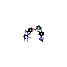 Cc1nc(-c2cccc(CN3CCCC[C@@H]3COc3ccc4c(c3)CN(C3CCC(=O)NC3=O)C4=O)c2)no1